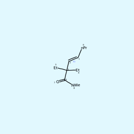 CCC/C=C/C(CC)(CC)C(=O)NC